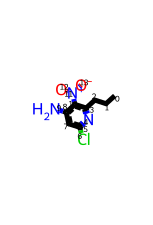 CCCc1nc(Cl)cc(N)c1[N+](=O)[O-]